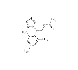 Cc1cc(C)c(C(COC(N)=O)n2ncnn2)c(C)c1